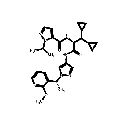 COc1ncccc1[C@@H](C)n1cc(NC(=O)[C@@H](NC(=O)c2ccnn2C(C)C)C(C2CC2)C2CC2)cn1